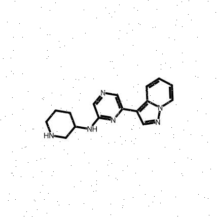 c1ccn2ncc(-c3cncc(NC4CCCNC4)n3)c2c1